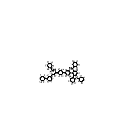 c1ccc(-c2cccc(-c3cc(-c4ccc(-c5ccc6c(c5)nc(-c5ccccc5)c5ccc7c(c8ccccc8n7-c7ccccc7)c56)cc4)nc(-c4ccccc4)n3)c2)cc1